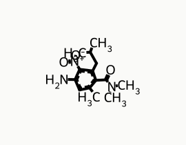 Cc1cc(N)c([N+](=O)[O-])c(CC(C)C)c1C(=O)N(C)C